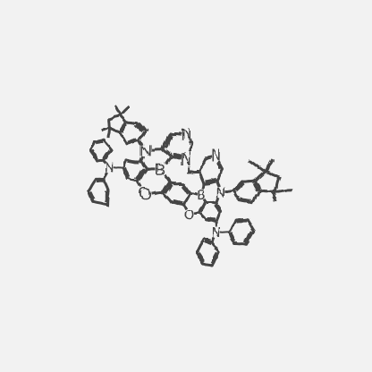 CCC1CN=CC2=C1B1c3cc4c(cc3Oc3cc(N(c5ccccc5)c5ccccc5)cc(c31)N2c1ccc2c(c1)C(C)(C)CC2(C)C)Oc1cc(N(c2ccccc2)c2ccccc2)cc2c1B4c1ncncc1N2c1ccc2c(c1)C(C)(C)CC2(C)C